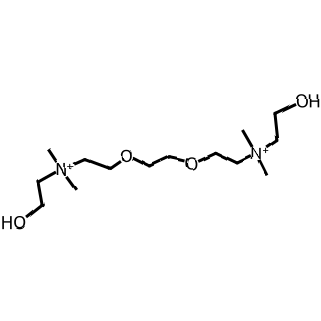 C[N+](C)(CCO)CCOCCOCC[N+](C)(C)CCO